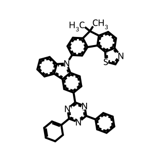 CC1(C)c2ccc(-n3c4ccccc4c4cc(-c5nc(C6=CC=CCC6)nc(-c6ccccc6)n5)ccc43)cc2-c2c1ccc1ncsc21